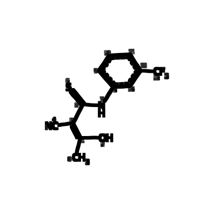 CC(O)=C(C#N)C(=S)Nc1cccc(C(F)(F)F)c1